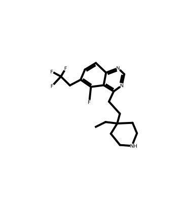 CCC1(CCc2ncnc3ccc(CC(F)(F)F)c(F)c23)CCNCC1